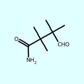 CC(C)(C=O)C(C)(C)C(N)=O